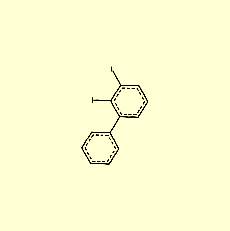 Ic1cccc(-c2ccccc2)c1I